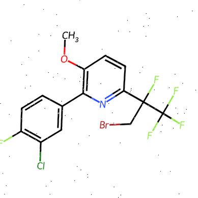 COc1ccc(C(F)(CBr)C(F)(F)F)nc1-c1ccc(F)c(Cl)c1